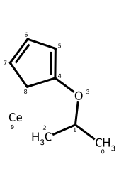 CC(C)OC1=CC=CC1.[Ce]